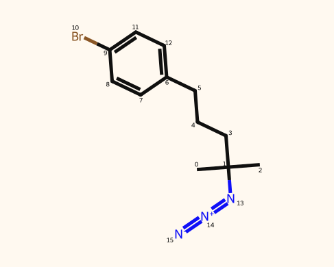 CC(C)(CCCc1ccc(Br)cc1)N=[N+]=[N-]